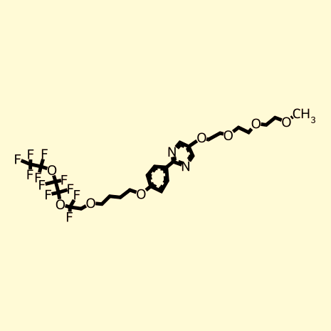 COCCOCCOCCOc1cnc(-c2ccc(OCCCCOCC(F)(F)OC(F)(F)C(F)(F)OC(F)(F)C(F)(F)F)cc2)nc1